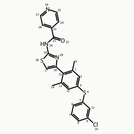 Cc1cc(Sc2cccc(Cl)c2)cc(C)c1-c1csc(NC(=O)c2ccncc2)n1